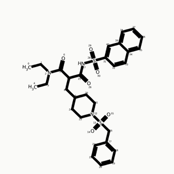 CCN(CC)C(=O)C(CC1CCN(S(=O)(=O)Cc2ccccc2)CC1)C(=O)NS(=O)(=O)c1ccc2ccccc2c1